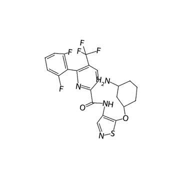 NC1CCCC(Oc2sncc2NC(=O)c2ccc(C(F)(F)F)c(-c3c(F)cccc3F)n2)C1